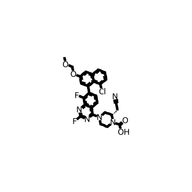 COCOc1cc(-c2ccc3c(N4CCN(C(=O)O)[C@@H](CC#N)C4)nc(F)nc3c2F)c2c(Cl)cccc2c1